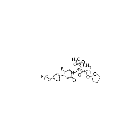 C[C@@](CCn1cc(F)c(-c2ccc(OC(F)(F)F)cc2)cc1=O)(C(=O)NOC1CCCCO1)S(C)(=O)=O